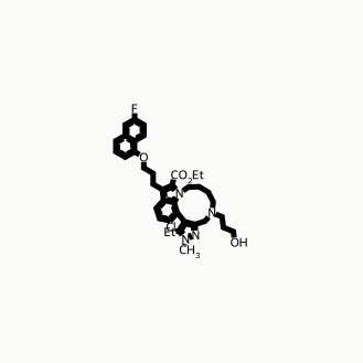 CCOC(=O)c1c(CCCOc2cccc3cc(F)ccc23)c2ccc(Cl)c3c2n1CCCCN(CCCO)Cc1nn(C)c(CC)c1-3